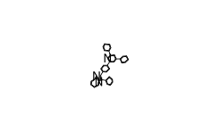 c1ccc(-c2cc(-c3ccccc3)nc(-c3ccc(-c4nc5ccccn5c4-c4ccccc4)cc3)c2)cc1